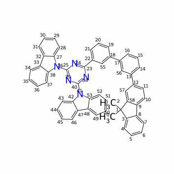 CC1(C)c2ccccc2-c2ccc(-c3cccc(-c4cccc(-c5nc(-n6c7ccccc7c7ccccc76)nc(-n6c7ccccc7c7ccccc76)n5)c4)c3)cc21